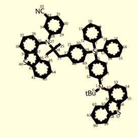 CC(C)(C)N(c1ccc([Si](c2ccccc2)(c2ccccc2)c2ccc(CC(C)(C)N(c3cccc(C#N)c3)c3cccc4sc5ccccc5c34)cc2)cc1)c1cccc2sc3ccccc3c12